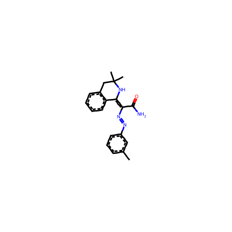 Cc1cccc(N=NC(C(N)=O)=C2NC(C)(C)Cc3ccccc32)c1